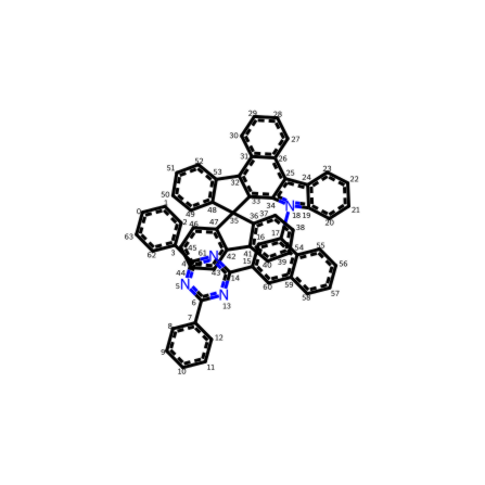 c1ccc(-c2nc(-c3ccccc3)nc(-c3cc(-n4c5ccccc5c5c6ccccc6c6c(c54)C4(c5ccccc5-c5ccccc54)c4ccccc4-6)c4ccccc4c3)n2)cc1